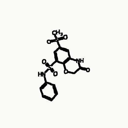 CS(=O)(=O)c1cc2c(c(S(=O)(=O)Nc3ccccc3)c1)OCC(=O)N2